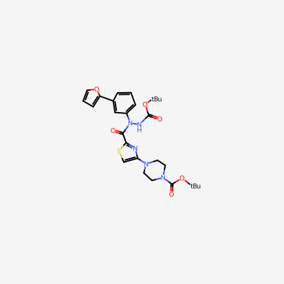 CC(C)(C)OC(=O)NN(C(=O)c1nc(N2CCN(C(=O)OC(C)(C)C)CC2)cs1)c1cccc(-c2ccco2)c1